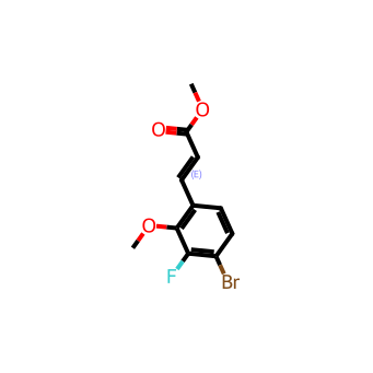 COC(=O)/C=C/c1ccc(Br)c(F)c1OC